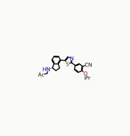 CC(=O)CN[C@H]1CCc2c(-c3cnc(-c4ccc(OC(C)C)c(C#N)c4)s3)cccc21